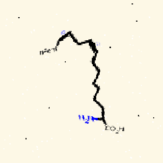 CCCCC/C=C\C/C=C\CCCCCCC(N)C(=O)O